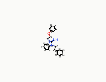 N=c1n(CCOc2ccccc2)c2ccccc2n1CCc1ccccc1